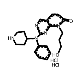 Cl.Cl.O=c1ccc2cnc(N(c3ccccc3)C3CCNCC3)nc2n1CCCO